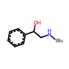 CC(C)(C)NCC(O)c1c[c][c]cc1